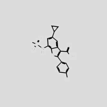 CS(=O)(=O)Nc1cc(C2CC2)cc2c(C(=O)O)c(-c3ccc(F)cc3)oc12